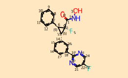 O=C(NO)[C@]1(F)[C@H](c2ccccc2)[C@H]1c1cccc(-c2ncc(F)cn2)c1